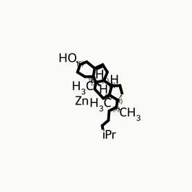 CC(C)CCC[C@@H](C)[C@H]1CC[C@H]2[C@@H]3CC=C4C[C@@H](O)CC[C@]4(C)[C@H]3CC[C@]12C.[Zn]